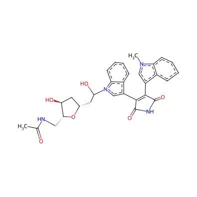 CC(=O)NC[C@H]1O[C@@H](CC(O)n2cc(C3=C(c4cn(C)c5ccccc45)C(=O)NC3=O)c3ccccc32)C[C@@H]1O